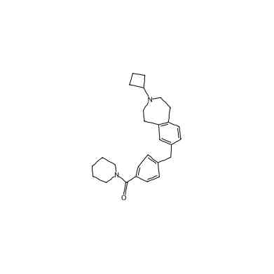 O=C(c1ccc(Cc2ccc3c(c2)CCN(C2CCC2)CC3)cc1)N1CCCCC1